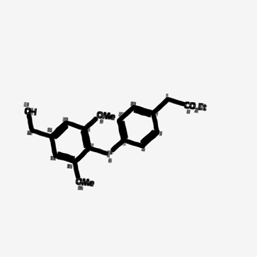 CCOC(=O)Cc1ccc([I+]c2c(OC)cc(CO)cc2OC)cc1